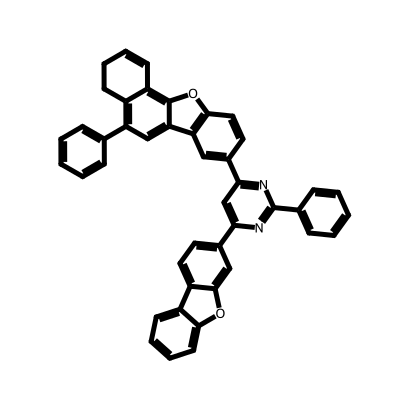 C1=Cc2c(c(-c3ccccc3)cc3c2oc2ccc(-c4cc(-c5ccc6c(c5)oc5ccccc56)nc(-c5ccccc5)n4)cc23)CC1